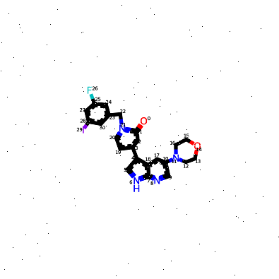 O=c1cc(-c2c[nH]c3ncc(N4CCOCC4)cc23)ccn1Cc1cc(F)cc(I)c1